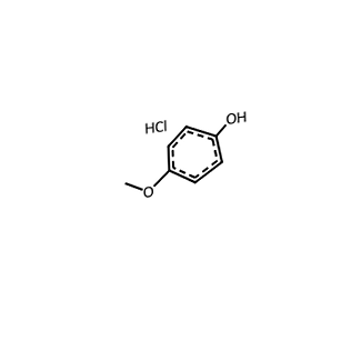 COc1ccc(O)cc1.Cl